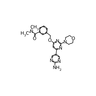 CN(C)C(=O)c1cccc(COc2cc(-c3cnc(N)nc3)nc(N3CCOCC3)n2)c1